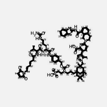 Cc1c(-c2ccc(N3CCc4cccc(C(=O)Nc5nc6ccccc6s5)c4C3)nc2C(=O)O)cnn1CC1(C)CC2(C)CC(C)(C)CC(CCCN(CCS(=O)(=O)O)C(=O)OCc3ccc(NC(=O)[C@H](CCCNC(N)=O)NC(=O)C(NC(=O)CCCCCN4C(=O)C=CC4=O)C(C)C)cc3)(C1)C2